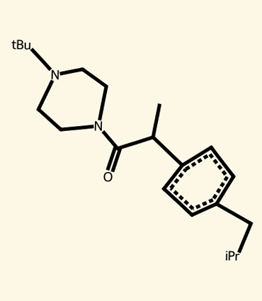 CC(C)Cc1ccc(C(C)C(=O)N2CCN(C(C)(C)C)CC2)cc1